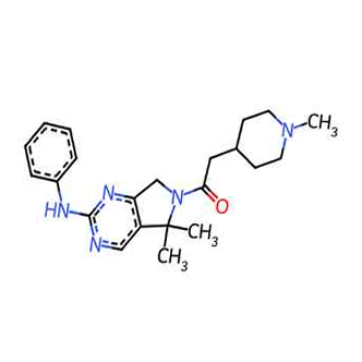 CN1CCC(CC(=O)N2Cc3nc(Nc4ccccc4)ncc3C2(C)C)CC1